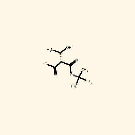 CC(C)(C)OC(=O)[C@H](C(=O)O)C(N)O